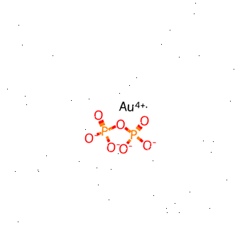 O=P([O-])([O-])OP(=O)([O-])[O-].[Au+4]